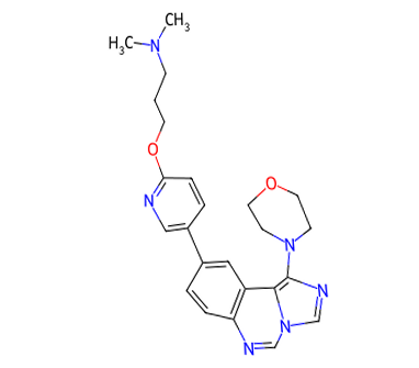 CN(C)CCCOc1ccc(-c2ccc3ncn4cnc(N5CCOCC5)c4c3c2)cn1